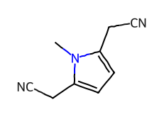 Cn1c(CC#N)ccc1CC#N